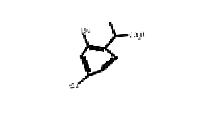 CC(C(=O)O)c1ccc(C(C)(C)C)cc1C(C)(C)C